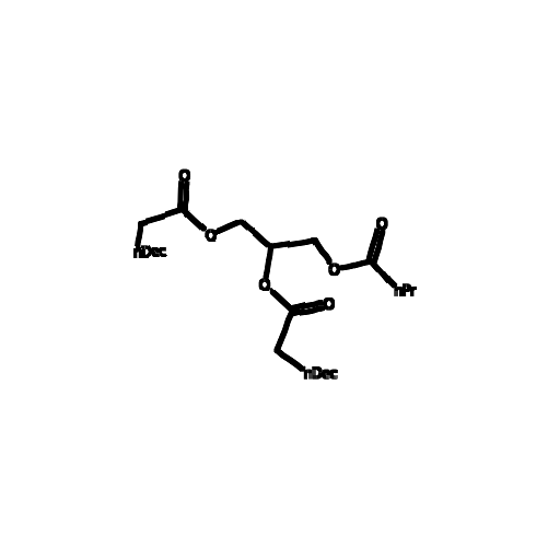 CCCCCCCCCCCC(=O)OCC(COC(=O)CCC)OC(=O)CCCCCCCCCCC